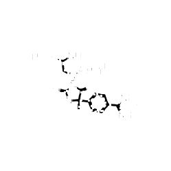 CC(=O)N(CC(N)C(=O)O)N1C(=O)NC(C)(c2ccc(C(=N)N)cc2)C1=O.Cl.Cl